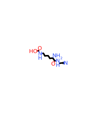 N#CCNC(=O)C(N)CCCCNC(=O)O